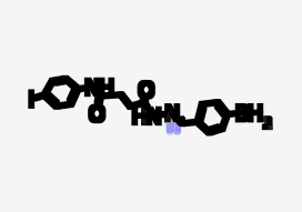 Bc1ccc(/C=N/NC(=O)CCC(=O)Nc2ccc(I)cc2)cc1